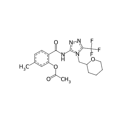 CC(=O)Oc1cc(C)ccc1C(=O)Nc1nnc(C(F)(F)F)n1CC1CCCCO1